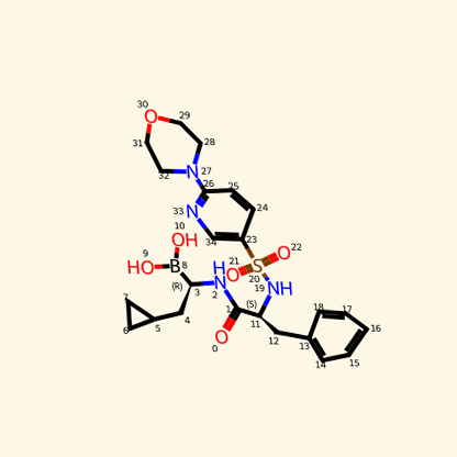 O=C(N[C@@H](CC1CC1)B(O)O)[C@H](Cc1ccccc1)NS(=O)(=O)c1ccc(N2CCOCC2)nc1